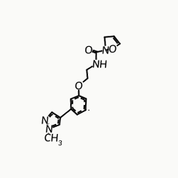 Cn1cc(-c2c[c]cc(OCCNC(=O)N3CC=CO3)c2)cn1